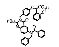 CCCCc1nc2ccc(N(Cc3ccccc3)C(=O)c3ccccc3)cc2c(=O)n1Cc1ccc(OC(C(=O)O)c2ccccc2Cl)cc1